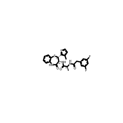 Cc1ccsc1[C@H]1Sc2ccccc2NC(=O)[C@H]1NC(=O)[C@H](C)NC(=O)Cc1cc(F)cc(F)c1